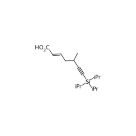 CC(C#C[Si](C(C)C)(C(C)C)C(C)C)CC=CC(=O)O